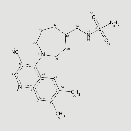 Cc1cc2ncc(C#N)c(N3CCCC(CNS(N)(=O)=O)CC3)c2cc1C